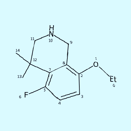 CCOc1ccc(F)c2c1CNCC2(C)C